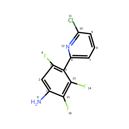 Nc1cc(F)c(-c2cccc(Cl)n2)c(F)c1F